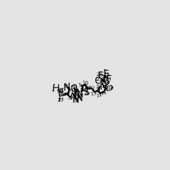 NCC(Cn1nnn(-c2ccc(CCc3ccc(=O)n(OC(=O)C(F)(F)F)c3)s2)c1=O)=C(F)F